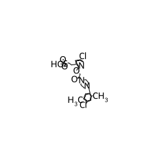 Cc1cc(CN2CCN(C(=O)COc3ncc(Cl)cc3CCS(=O)(=O)O)CC2)c(C)cc1Cl